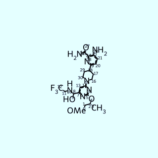 COC[C@@H](C)Oc1nc(C(O)NCC(F)(F)F)cc(N2CCC(c3ccc(N)c(C(N)=O)n3)CC2)n1